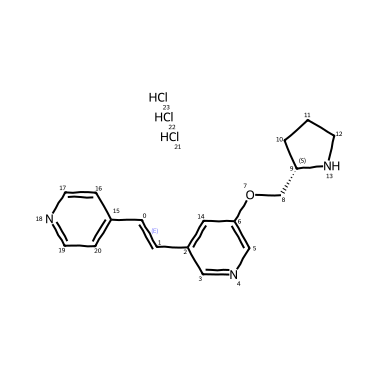 C(=C\c1cncc(OC[C@@H]2CCCN2)c1)/c1ccncc1.Cl.Cl.Cl